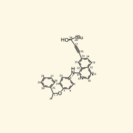 CC(Oc1ccc(Nc2ncnc3ccc(C#CC(O)C(C)(C)C)cc23)cc1)c1ccccc1